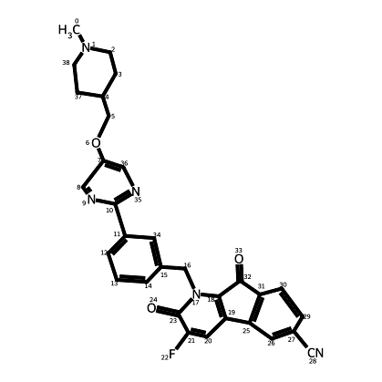 CN1CCC(COc2cnc(-c3cccc(Cn4c5c(cc(F)c4=O)-c4cc(C#N)ccc4C5=O)c3)nc2)CC1